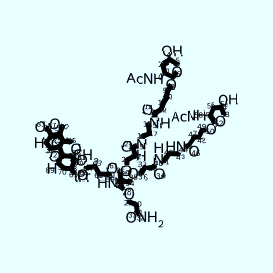 CC(=O)N[C@@H]1C[C@@H](O)CO[C@H]1OCCCCC(=O)NCCCNC(=O)CCOCC(COCCC(N)=O)(COCCC(=O)NCCCNC(=O)CCCO[C@@H]1OC[C@H](O)C[C@H]1NC(C)=O)NC(=O)CCC(=O)O[C@@H]1C(C(C)C)C[C@@H]2O[C@@]23[C@@]2(C)CCC4=C(COC4=O)C2CO[C@]13C